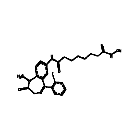 CN1C(=O)CN=C(c2ccccc2F)c2cc(NC(=O)CCCCCCC(=O)NO)ccc21